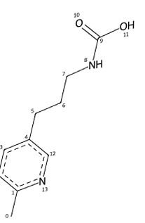 Cc1ccc(CCCNC(=O)O)cn1